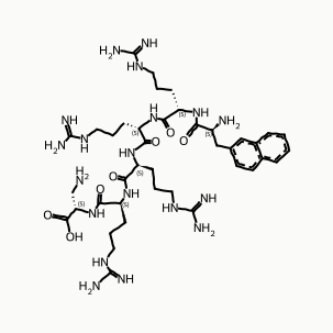 N=C(N)NCCC[C@H](NC(=O)[C@H](CCCNC(=N)N)NC(=O)[C@H](CCCNC(=N)N)NC(=O)[C@H](CCCNC(=N)N)NC(=O)[C@@H](N)Cc1ccc2ccccc2c1)C(=O)N[C@@H](CN)C(=O)O